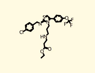 CCOC(=O)CCNCCCn1c(-c2ccc(OC(F)(F)F)cc2)cs/c1=N\Cc1ccc(Cl)cc1